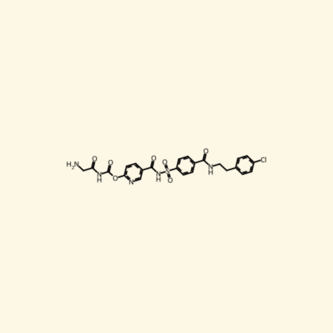 NCC(=O)NC(=O)Oc1ccc(C(=O)NS(=O)(=O)c2ccc(C(=O)NCCc3ccc(Cl)cc3)cc2)cn1